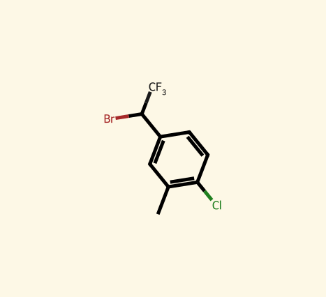 Cc1cc(C(Br)C(F)(F)F)ccc1Cl